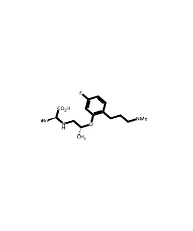 CCC(C)[C@H](NC[C@@H](C)Oc1cc(F)ccc1CCCNC)C(=O)O